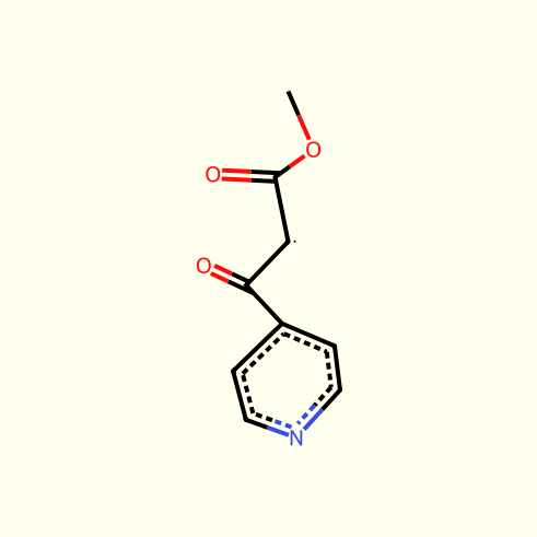 COC(=O)[CH]C(=O)c1ccncc1